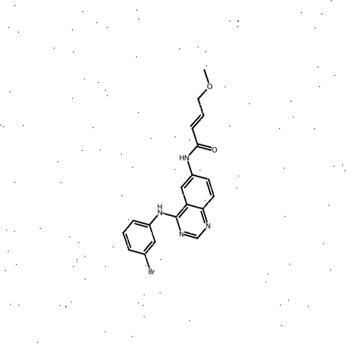 COCC=CC(=O)Nc1ccc2ncnc(Nc3cccc(Br)c3)c2c1